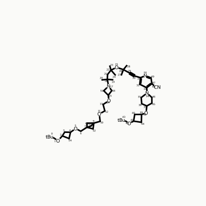 CC(C)(C)OC1CC(OCC23CC(COCCOC4CN(C(C)(C)CC(C)(C)OC(C)(C)C#Cc5cc(N6CCC(OC7CC(OC(C)(C)C)C7)CC6)c(C#N)cn5)C4)(C2)C3)C1